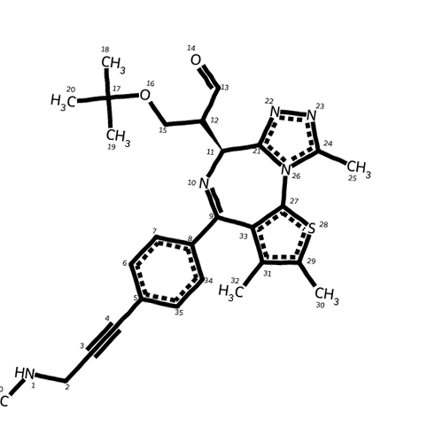 CNCC#Cc1ccc(C2=N[C@@H](C(C=O)COC(C)(C)C)c3nnc(C)n3-c3sc(C)c(C)c32)cc1